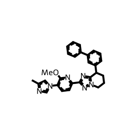 COc1nc(-c2nc3n(n2)CCCC3c2cccc(-c3ccccc3)c2)ccc1-n1cnc(C)c1